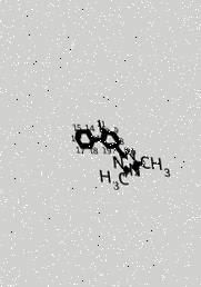 Cc1nc(C)nc(-c2ccc(I)c(-c3ccccc3)c2)n1